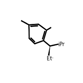 C[CH][C@@H](c1ccc(C)cc1C)C(C)C